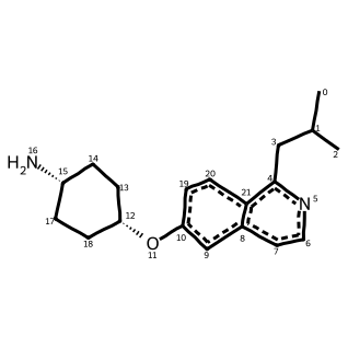 CC(C)Cc1nccc2cc(O[C@H]3CC[C@@H](N)CC3)ccc12